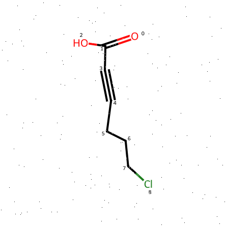 O=C(O)C#CCCCCl